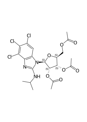 CC(=O)OC[C@@H]1O[C@H](n2c(NC(C)C)nc3c(Cl)c(Cl)c(Cl)cc32)[C@@H](OC(C)=O)[C@H]1OC(C)=O